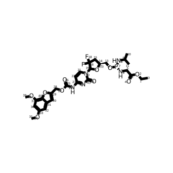 CCOC(=O)CNP(NC(C)C)OC[C@@H]1CC(F)(F)C(n2ccc(NC(=O)OCc3cc4cc(OC)cc(OC)c4o3)nc2=O)O1